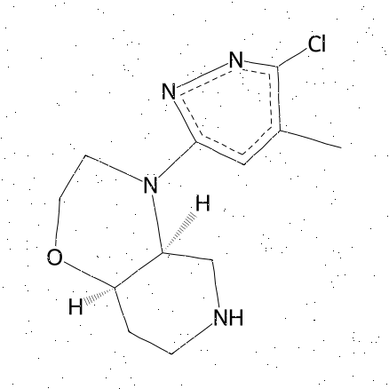 Cc1cc(N2CCO[C@@H]3CCNC[C@@H]32)nnc1Cl